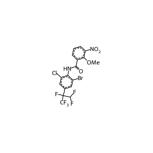 COc1c(C(=O)Nc2c(Cl)cc(C(F)(C(F)F)C(F)(F)F)cc2Br)cccc1[N+](=O)[O-]